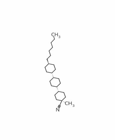 CCCCCCC[C@H]1CC[C@H](C2CCC([C@H]3CC[C@](C)(C#N)CC3)CC2)CC1